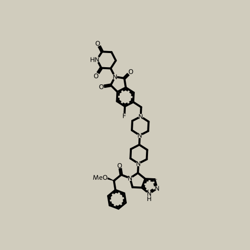 CO[C@@H](C(=O)N1Cc2[nH]n[c]c2C1N1CCC(N2CCN(Cc3cc4c(cc3F)C(=O)N(C3CCC(=O)NC3=O)C4=O)CC2)CC1)c1ccccc1